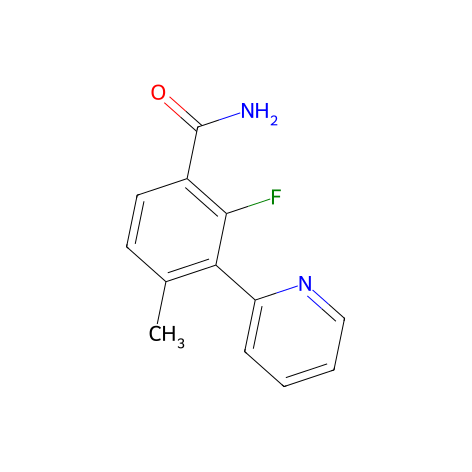 Cc1ccc(C(N)=O)c(F)c1-c1ccccn1